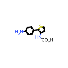 Nc1ccc(-c2sccc2NC(=O)O)cc1